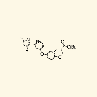 Cc1c[nH]c(-c2cc(Oc3ccc4c(c3)CC(C(=O)OCC(C)C)CO4)ccn2)n1